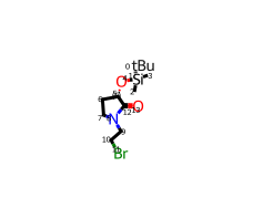 CC(C)(C)[Si](C)(C)O[C@H]1CCN(CCBr)C1=O